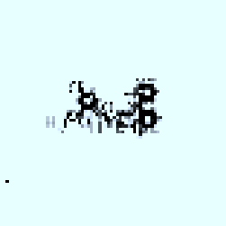 COC(=O)c1cc(Cl)ccc1NC(=O)CN(C)CC(=O)NC(c1ccccc1)c1ccccc1